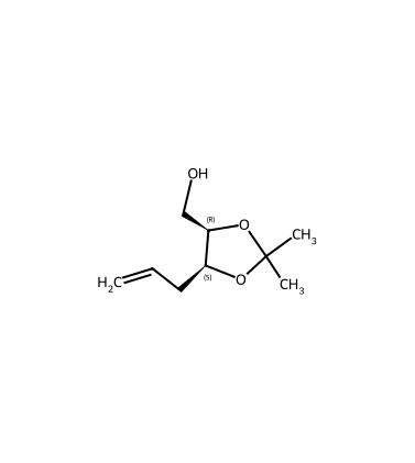 C=CC[C@@H]1OC(C)(C)O[C@@H]1CO